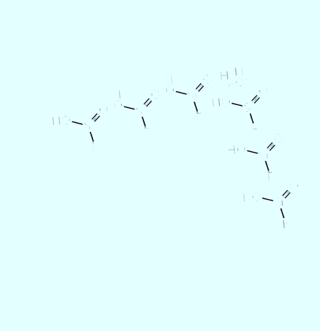 O.O.O=[Si](O)F.O=[Si](O)F.O=[Si](O)F.O=[Si](O)F.O=[Si](O)F.O=[Si](O)F